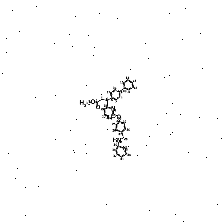 COC(=O)CC(c1ccc(-c2ccccc2)cc1)c1ccnc(Oc2ccc(CNc3ccccn3)cc2)n1